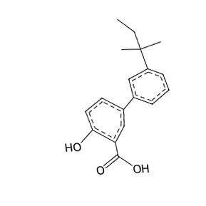 CCC(C)(C)c1cccc(-c2ccc(O)c(C(=O)O)c2)c1